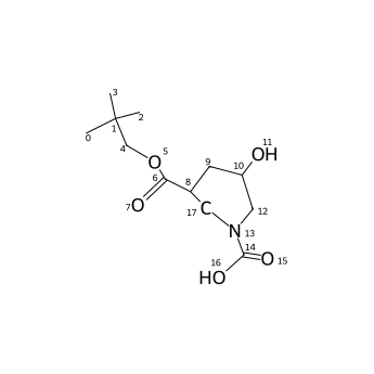 CC(C)(C)COC(=O)C1CC(O)CN(C(=O)O)C1